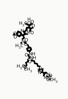 CCN(CCc1c2c(nc3cc4c(cc13)OCO4)-c1cc3c(c(=O)n1C2)COC(=O)[C@]3(O)CC)C(=O)OCc1ccc(NC(=O)[C@H](CCCCN(C)C)NC(=O)CCCCCN2CC(c3cnc(S(C)(=O)=O)nc3)N=N2)cc1